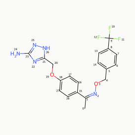 CC(=NOCc1ccc(C(F)(F)F)cc1)c1ccc(OCc2nc(N)n[nH]2)cc1